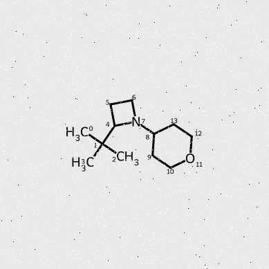 CC(C)(C)C1CCN1C1CCOCC1